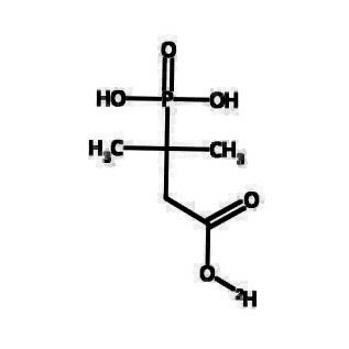 [2H]OC(=O)CC(C)(C)P(=O)(O)O